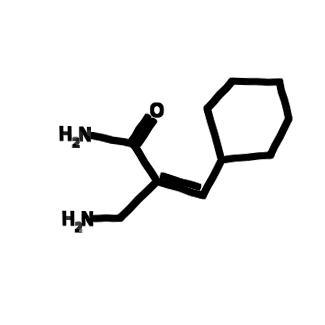 NCC(=CC1CCCCC1)C(N)=O